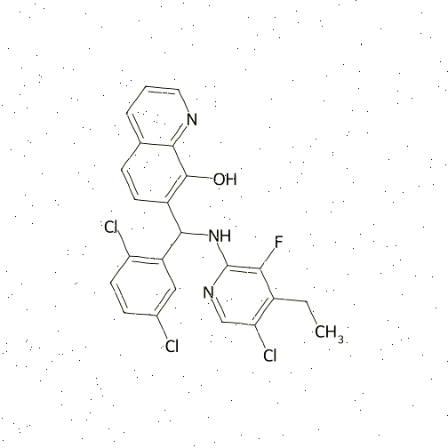 CCc1c(Cl)cnc(NC(c2cc(Cl)ccc2Cl)c2ccc3cccnc3c2O)c1F